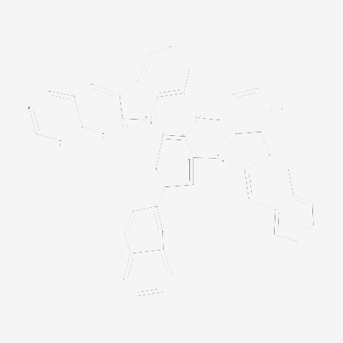 c1ccc2cc(-c3cc4c5c(c3)-n3c6cc7ccccc7cc6c6cccc(c63)B5c3cccc5c6cc7ccccc7cc6n-4c35)ccc2c1